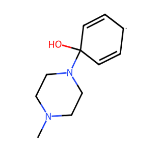 CN1CCN(C2(O)C=C[CH]C=C2)CC1